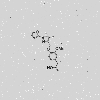 C=C(O)Cc1ccc(OCc2nc(-c3ccco3)oc2C)c(OC)c1